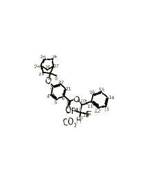 CC1(Oc2ccc(C(=O)OC(c3ccccc3)C(F)(F)C(=O)O)cc2)CC2CCC1C2